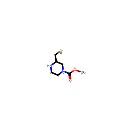 CC(C)(C)OC(=O)N1CCNC(CBr)C1